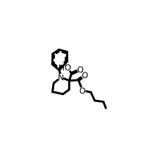 CCCCOC(=O)C1(C(=O)O)CCCCN1c1ccccc1